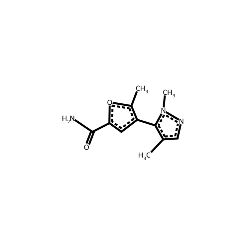 Cc1cnn(C)c1-c1cc(C(N)=O)oc1C